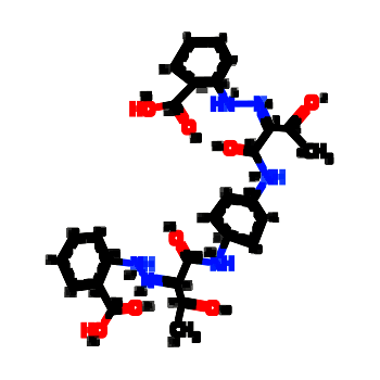 CC(=O)/C(=N/Nc1ccccc1C(=O)O)C(=O)Nc1ccc(NC(=O)/C(=N\Nc2ccccc2C(=O)O)C(C)=O)cc1